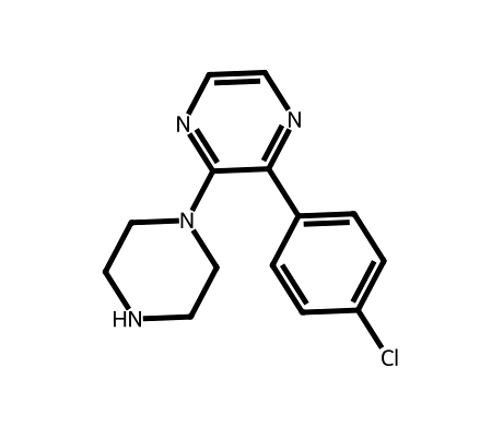 Clc1ccc(-c2nccnc2N2CCNCC2)cc1